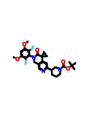 COc1cc(OC)c(F)c(N2Cc3cnc(C4CCCN(C(=O)OC(C)(C)C)C4)cc3C3(CC3)C2=O)c1F